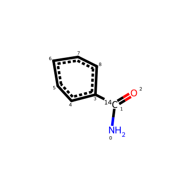 N[14C](=O)c1ccccc1